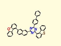 c1ccc(-c2ccc(-c3nc(-c4ccc5ccc(-c6cccc7oc8ccccc8c67)cc5c4)nc(-c4cccc5sc6ccccc6c45)n3)cc2)cc1